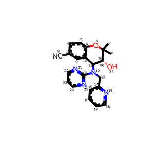 CC1(C)Oc2ccc(C#N)cc2C(N(Cc2ccccn2)c2ncccn2)[C@H]1O